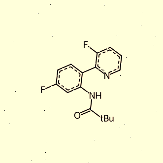 CC(C)(C)C(=O)Nc1cc(F)ccc1-c1ncccc1F